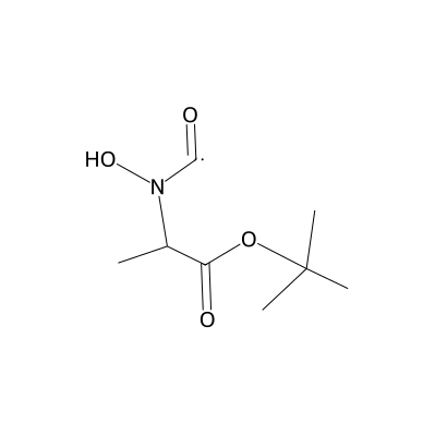 CC(C(=O)OC(C)(C)C)N(O)[C]=O